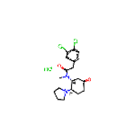 CN(C(=O)Cc1ccc(Cl)c(Cl)c1)[C@@H]1CC(=O)CC[C@H]1N1CCCC1.Cl